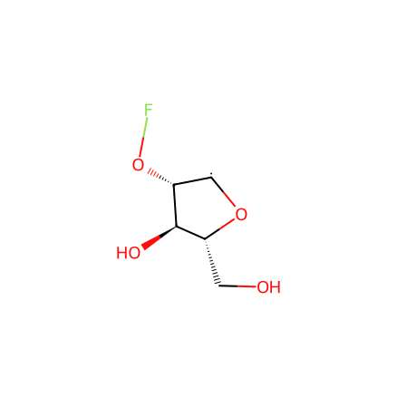 OC[C@H]1O[CH][C@@H](OF)[C@@H]1O